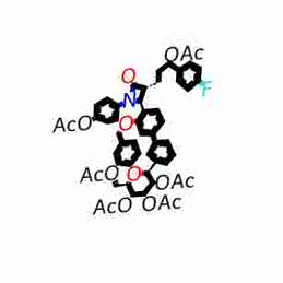 CC(=O)OC[C@H]1O[C@@H](c2cccc(-c3ccc([C@@H]4[C@@H](CC[C@H](OC(C)=O)c5ccc(F)cc5)C(=O)N4c4ccc(OC(C)=O)cc4)c(OCc4ccccc4)c3)c2)[C@H](OC(C)=O)[C@@H](OC(C)=O)[C@@H]1OC(C)=O